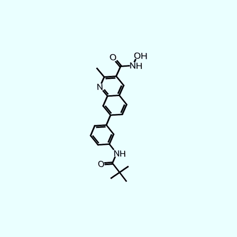 Cc1nc2cc(-c3cccc(NC(=O)C(C)(C)C)c3)ccc2cc1C(=O)NO